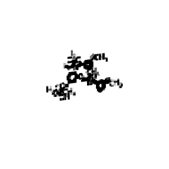 COc1cccc(-c2nc(CI)c(C)o2)c1.COc1cccc(-c2nc(CO[C@@H]3CCC[C@H](COC(C)(C)C(=O)O)C3)c(C)o2)c1